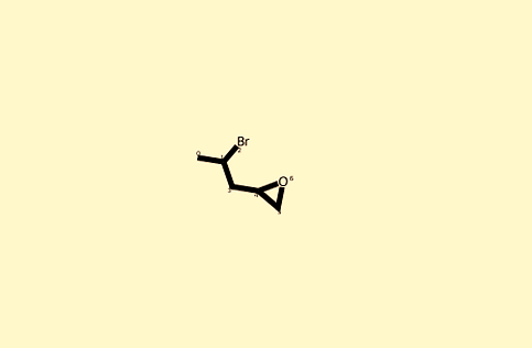 CC(Br)CC1CO1